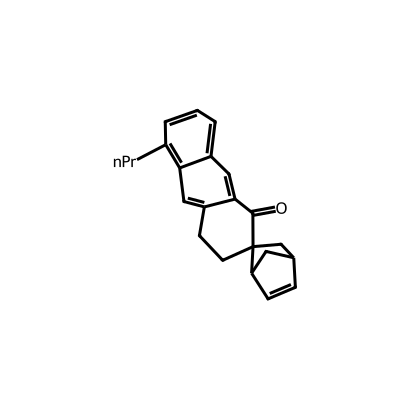 CCCc1cccc2cc3c(cc12)CCC1(CC2C=CC1C2)C3=O